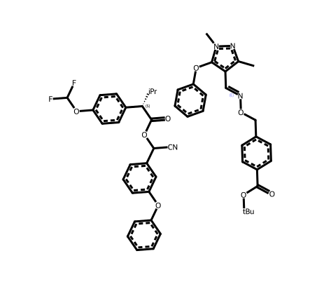 CC(C)[C@H](C(=O)OC(C#N)c1cccc(Oc2ccccc2)c1)c1ccc(OC(F)F)cc1.Cc1nn(C)c(Oc2ccccc2)c1/C=N/OCc1ccc(C(=O)OC(C)(C)C)cc1